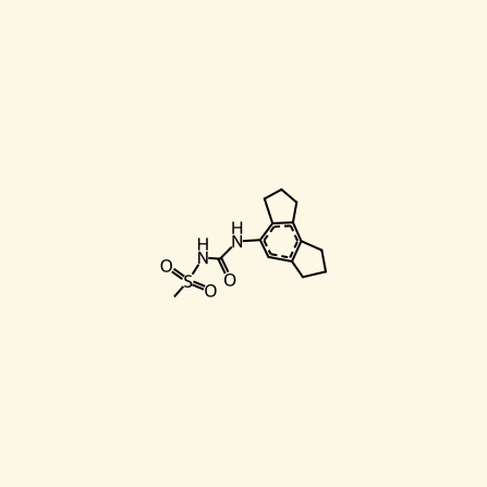 CS(=O)(=O)NC(=O)Nc1cc2c(c3c1CCC3)CCC2